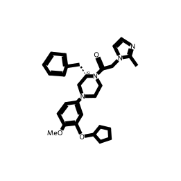 COc1ccc(N2CCN(C(=O)Cn3ccnc3C)[C@@H](Cc3ccccc3)C2)cc1OC1CCCC1